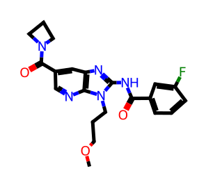 COCCCn1c(NC(=O)c2cccc(F)c2)nc2cc(C(=O)N3CCC3)cnc21